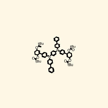 C=C(OC1C=C(c2ccc(N(c3ccc(-c4ccccc4)cc3)c3ccc(N(c4ccc(C5=CC(OC(=O)C(C)(C)C)CCC5OC(=O)C(C)(C)C)cc4)c4ccc(-c5ccccc5)cc4)cc3)cc2)C(OC(=O)C(C)(C)C)CC1)C(C)(C)C